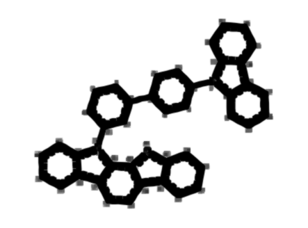 c1cc(-c2ccc(-n3c4ccccc4c4ccccc43)cc2)cc(-n2c3ccccc3c3ccc4c5ccccc5oc4c32)c1